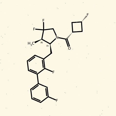 C[C@@H]1[C@H](Cc2cccc(-c3cccc(F)c3)c2F)N(C(=O)[C@H]2C[C@@H](F)C2)CC1(F)F